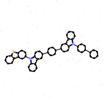 c1ccc(-c2ccc(-n3c4ccccc4c4cc(-c5ccc(-c6ccc7c(c6)c6ccccc6n7-c6ccc7sc8ccccc8c7c6)cc5)ccc43)cc2)cc1